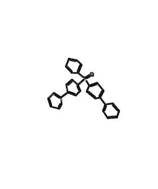 O=P(c1ccccc1)(c1ccc(-c2ccccc2)cc1)c1ccc(-c2ccccc2)cc1